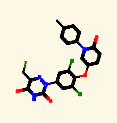 Cc1ccc(-n2cc(Oc3c(Cl)cc(-n4nc(CF)c(=O)[nH]c4=O)cc3Cl)ccc2=O)cc1